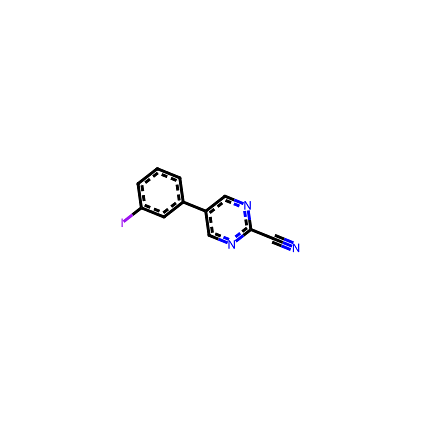 N#Cc1ncc(-c2cccc(I)c2)cn1